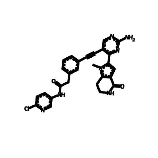 Cn1c(-c2nc(N)ncc2C#Cc2cccc(CC(=O)Nc3ccc(Cl)nc3)c2)cc2c1CCNC2=O